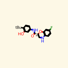 CC(C)(C)c1ccc(NC(=O)[C@H]2CNc3ccc(F)cc3O2)cc1O